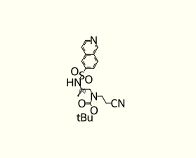 C[C@H](CN(CCC#N)C(=O)OC(C)(C)C)NS(=O)(=O)c1ccc2cnccc2c1